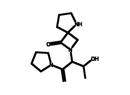 C=C(C(C(C)O)N1CC2(CCCN2)C1=O)N1CCCC1